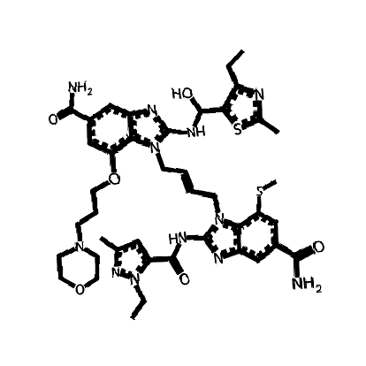 CCc1nc(C)sc1C(O)Nc1nc2cc(C(N)=O)cc(OCCCN3CCOCC3)c2n1C/C=C/Cn1c(NC(=O)c2cc(C)nn2CC)nc2cc(C(N)=O)cc(SC)c21